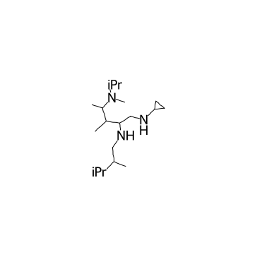 CC(C)C(C)CNC(CNC1CC1)C(C)C(C)N(C)C(C)C